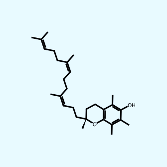 CC(C)=CCCC(C)=CCCC(C)=CCC[C@]1(C)CCc2c(C)c(O)c(C)c(C)c2O1